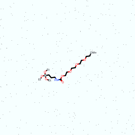 CCO[Si](CCCNC(=O)OCCOCCOCCOCCOC)(OCC)OCC